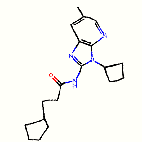 Cc1cnc2c(c1)nc(NC(=O)CCC1CCCC1)n2C1CCC1